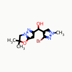 Cn1cc(C(O)c2cc3n(n2)CC(C)(C)O3)c(Br)n1